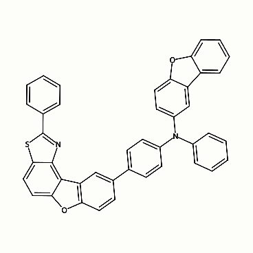 c1ccc(-c2nc3c(ccc4oc5ccc(-c6ccc(N(c7ccccc7)c7ccc8oc9ccccc9c8c7)cc6)cc5c43)s2)cc1